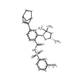 C[C@@H]1CN(c2nc(C3=CC4CCC3C4)ccc2C(=O)NS(=O)(=O)c2cccc(N)n2)C(C)(C)C1